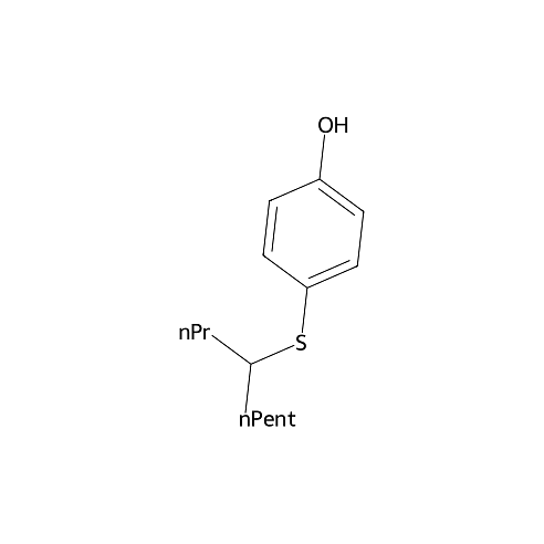 CCCCCC(CCC)Sc1ccc(O)cc1